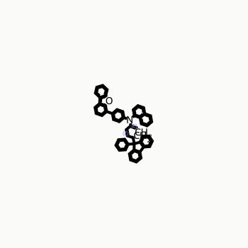 C=C(/C=C\C(=C/C)N(c1ccc(-c2cccc3c2oc2ccccc23)cc1)c1cccc2ccccc12)C1(c2ccccc2)c2ccccc2-c2ccccc21